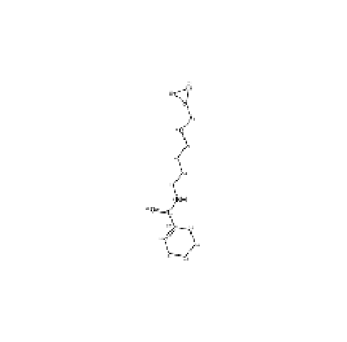 O=C(NCCCCOCC1CO1)C1=CCCCC1